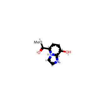 COC(=O)c1ccc(O)c2nccn12